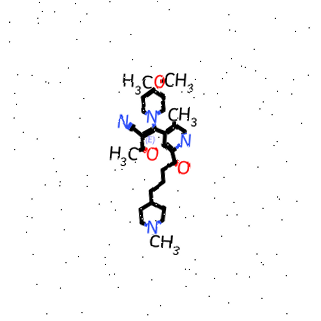 COC1(C)CCN(/C(=C(\C#N)C(C)=O)c2cc(C(=O)CCCC3CCN(C)CC3)ncc2C)CC1